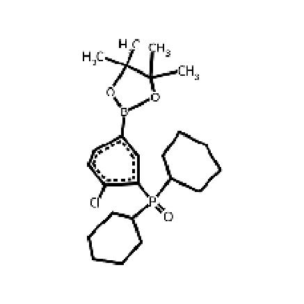 CC1(C)OB(c2ccc(Cl)c(P(=O)(C3CCCCC3)C3CCCCC3)c2)OC1(C)C